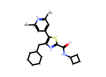 CC(C)(C)c1cc(-c2sc(C(=O)NC3CCC3)nc2CC2CCCCC2)cc(C(C)(C)C)n1